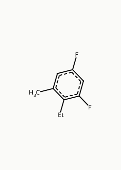 CCc1c(C)cc(F)cc1F